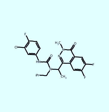 CC(C)CN(C(=O)Nc1ccc(F)c(Cl)c1)C(C)c1nn(C)c(=O)c2cc(F)c(F)cc12